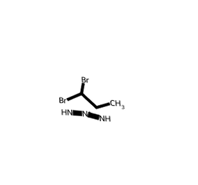 CCC(Br)Br.N=[N+]=N